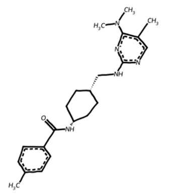 Cc1ccc(C(=O)N[C@H]2CC[C@@H](CNc3ncc(C)c(N(C)C)n3)CC2)cc1